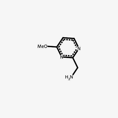 COc1ccnc(CN)n1